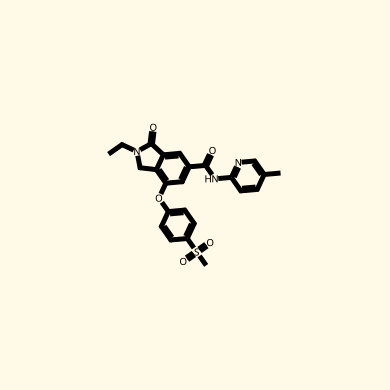 CCN1Cc2c(Oc3ccc(S(C)(=O)=O)cc3)cc(C(=O)Nc3ccc(C)cn3)cc2C1=O